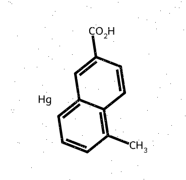 Cc1cccc2cc(C(=O)O)ccc12.[Hg]